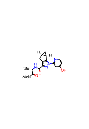 CNC(=O)[C@@H](NC(=O)c1nn(-c2cc(O)ccn2)c2c1C[C@H]1C[C@@H]21)C(C)(C)C